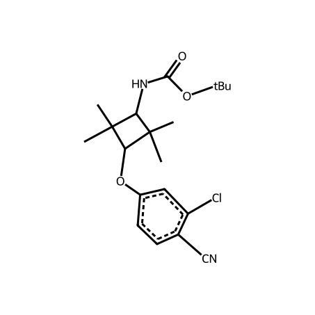 CC(C)(C)OC(=O)NC1C(C)(C)C(Oc2ccc(C#N)c(Cl)c2)C1(C)C